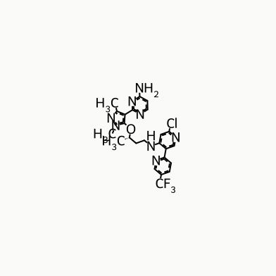 Cc1nn(C)c(O[C@@H](C)CCNc2cc(Cl)ncc2-c2ccc(C(F)(F)F)cn2)c1-c1nccc(N)n1